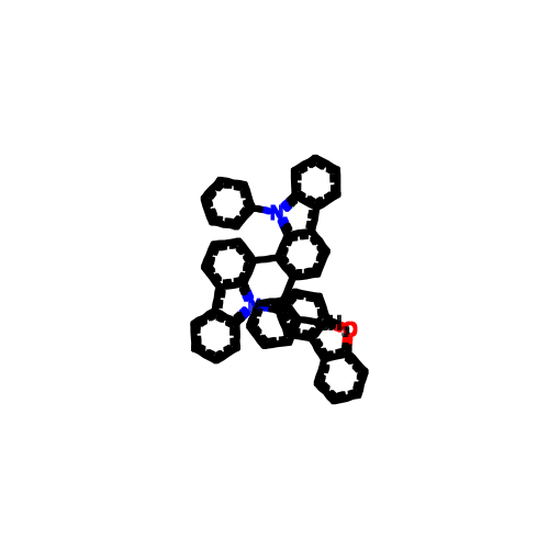 Cc1ccccc1-c1ccc2c3ccccc3n(-c3ccccc3)c2c1-c1cccc2c3ccccc3n(-c3ccc4oc5ccccc5c4c3)c12